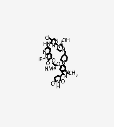 CNC(=O)COc1cc2cc(Nc3nc(N4CCN(CC5CCN(c6ccc7c(C8CCC(=O)NC8=O)nn(C)c7c6)CC5)C[C@H]4CO)ncc3Cl)cnc2n(C(C)C)c1=O